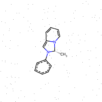 C[C@H]1N2C=CC=CC2=CN1c1ccccc1